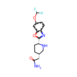 NC(=O)C[C@@H]1CC[C@H](c2nc3ccc(OC(F)F)cc3o2)NC1